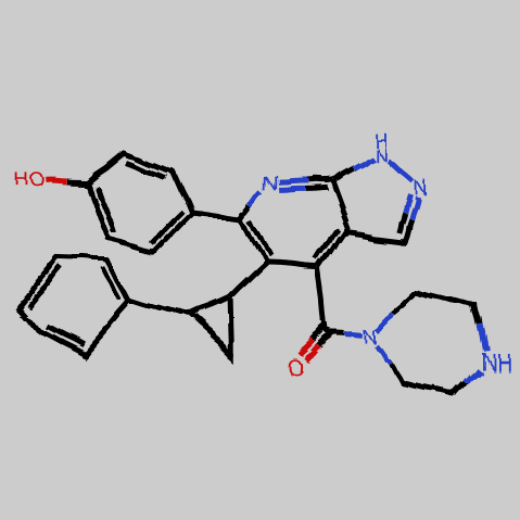 O=C(c1c(C2CC2c2ccccc2)c(-c2ccc(O)cc2)nc2[nH]ncc12)N1CCNCC1